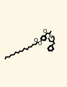 CCCCCCCCCCCCCCCC(=O)Oc1ccc(C(=O)C(C)N2CCC(Cc3ccccc3)CC2)cc1